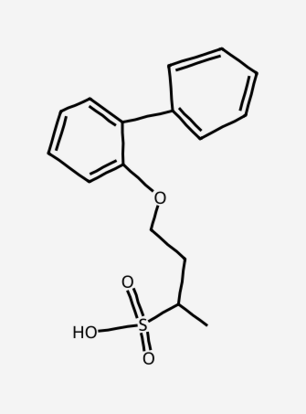 CC(CCOc1ccccc1-c1ccccc1)S(=O)(=O)O